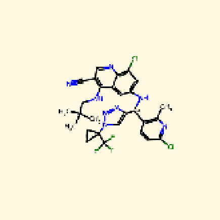 Cc1nc(Cl)ccc1[C@H](Nc1cc(Cl)c2ncc(C#N)c(NCC(C)(C)C)c2c1)c1cn(C2(C(F)(F)F)CC2)nn1